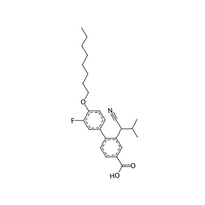 CCCCCCCCOc1ccc(-c2ccc(C(=O)O)cc2C(C#N)C(C)C)cc1F